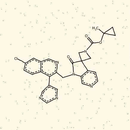 CC1(OC(=O)N2CC3(C2)C(=O)N(Cc2ncc4cc(Cl)ccc4c2-c2cncnc2)c2cnccc23)CC1